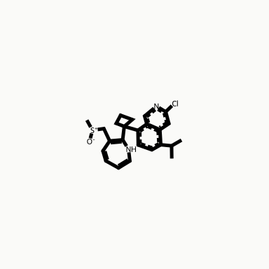 CC(C)c1ccc(C2(C3=C(C[S+](C)[O-])C=CC=CN3)CCC2)c2cnc(Cl)cc12